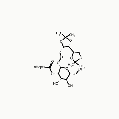 CCCCCCCC(=O)O[C@@H]1[C@H](OOC[C@@H]2OC(C)(C)O[C@@H]2[C@H]2COC(C)(C)O2)O[C@H](CO)[C@@H](O)[C@@H]1O